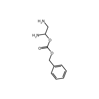 NCC(N)OC(=O)OCc1ccccc1